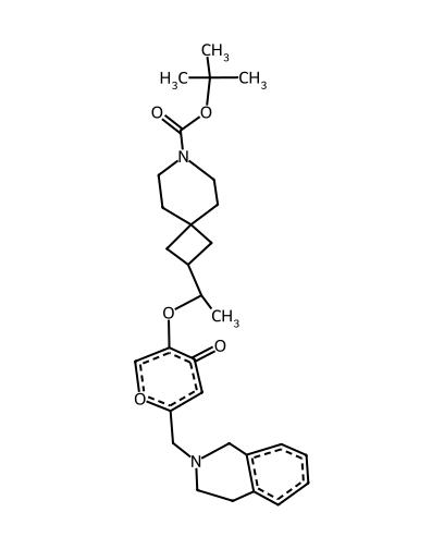 CC(Oc1coc(CN2CCc3ccccc3C2)cc1=O)C1CC2(CCN(C(=O)OC(C)(C)C)CC2)C1